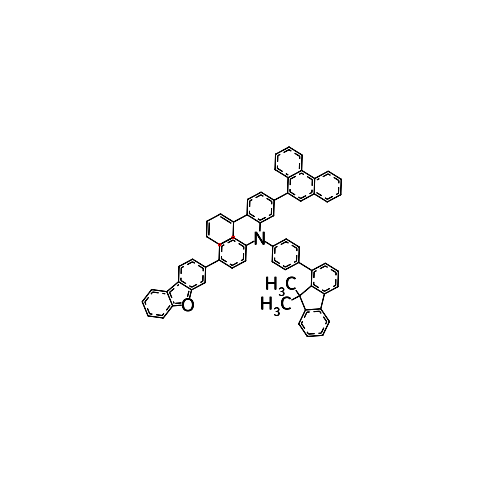 CC1(C)c2ccccc2-c2cccc(-c3ccc(N(c4ccc(-c5ccc6c(c5)oc5ccccc56)cc4)c4cc(-c5cc6ccccc6c6ccccc56)ccc4C4=CC=CCC4)cc3)c21